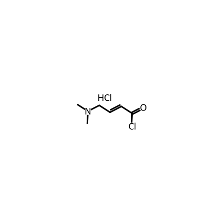 CN(C)CC=CC(=O)Cl.Cl